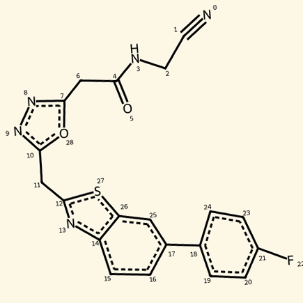 N#CCNC(=O)Cc1nnc(Cc2nc3ccc(-c4ccc(F)cc4)cc3s2)o1